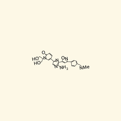 CNCc1ccc(-c2cc(-c3nc(-c4ccc(=O)n(C(CO)CO)c4)cnc3N)on2)cc1